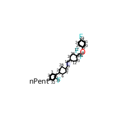 CCCCCc1ccc(C2CCC(/C=C/C3CCC(C(F)(F)Oc4ccc(F)cc4)CC3)CC2)c(F)c1